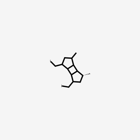 CC1CC(CI)C2C1C1C2C(CI)C[C@H]1C